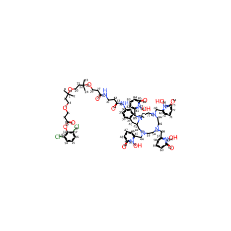 CC(C)(CCOCCC(=O)Oc1c(Cl)cccc1Cl)OCCC(C)(C)OCCC(=O)NCCC(=O)Nc1ccc(CC2CN(Cc3cccc(=O)n3O)CCN(Cc3cccc(=O)n3O)CCN(Cc3cccc(=O)n3O)CCN2Cc2cccc(=O)n2O)cc1